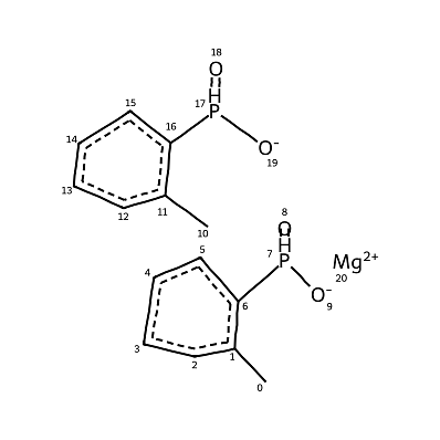 Cc1ccccc1[PH](=O)[O-].Cc1ccccc1[PH](=O)[O-].[Mg+2]